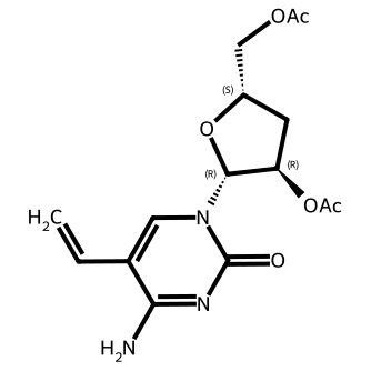 C=Cc1cn([C@@H]2O[C@H](COC(C)=O)C[C@H]2OC(C)=O)c(=O)nc1N